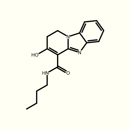 CCCCNC(=O)C1=C(O)CCn2c1nc1ccccc12